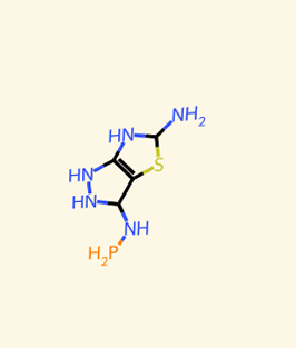 NC1NC2=C(S1)C(NP)NN2